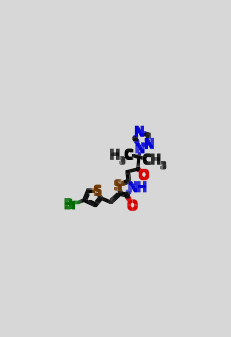 CC(C)(C(=O)/C=c1\[nH]c(=O)/c(=C/c2cc(Br)cs2)s1)n1cncn1